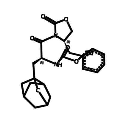 CC(C)(C)OC(=O)N[C@@H](CC12CC3CC(CC1C3)C2)C(=O)N1C(=O)OC[C@@H]1Cc1ccccc1